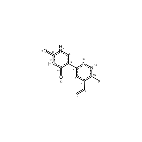 C=Cc1cc(-c2c[nH]c(=O)[nH]c2=O)nnc1C